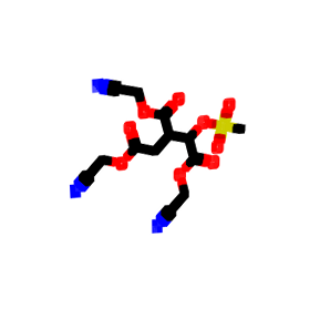 CS(=O)(=O)OC(C(=O)OCC#N)C(CC(=O)OCC#N)C(=O)OCC#N